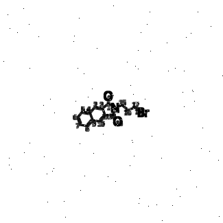 O=C1c2cc3ccccc3cc2C(=O)N1CCCBr